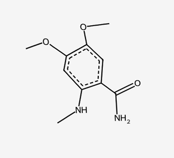 CNc1cc(OC)c(OC)cc1C(N)=O